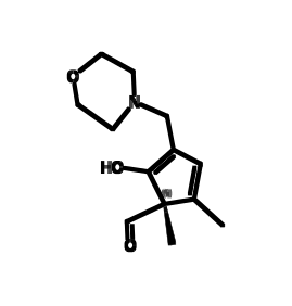 CC1=CC(CN2CCOCC2)=C(O)[C@@]1(C)C=O